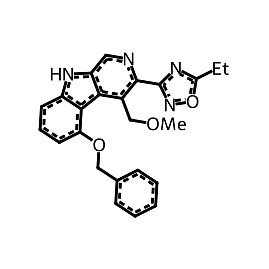 CCc1nc(-c2ncc3[nH]c4cccc(OCc5ccccc5)c4c3c2COC)no1